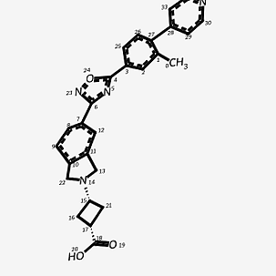 Cc1cc(-c2nc(-c3ccc4c(c3)CN([C@H]3C[C@@H](C(=O)O)C3)C4)no2)ccc1-c1ccncc1